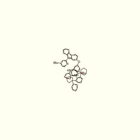 CC(C)(C)c1cc(Nc2ccccc2Nc2c(C3(c4ccccc4)CCCCC3)cccc2C2(c3ccccc3)CCCCC2)cc(Oc2ccc3c4ccccc4n(-c4cc(C(C)(C)C)ccn4)c3c2)c1